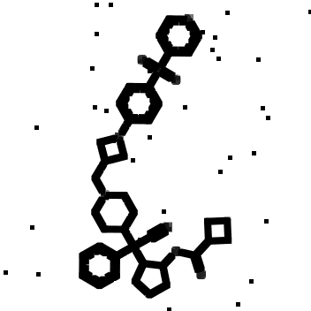 N#CC(c1ccccc1)(C1CCN(CC2CN(c3ccc(S(=O)(=O)c4ccncc4)cc3)C2)CC1)C1CCCC1OC(=O)C1CCC1